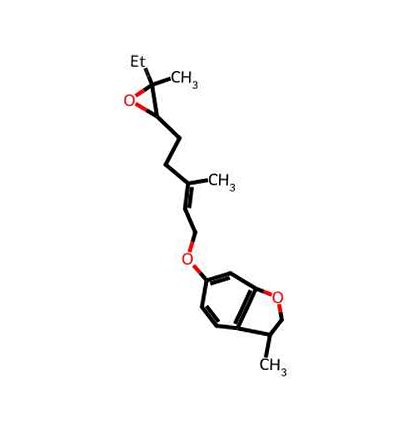 CCC1(C)OC1CC/C(C)=C/COc1ccc2c(c1)OCC2C